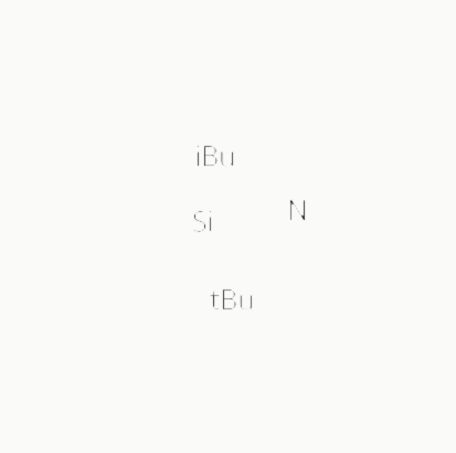 C=C[Si](C(C)CC)(N(C)C)C(C)(C)C